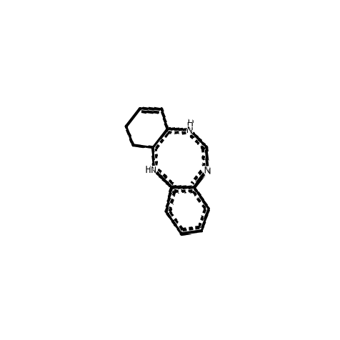 C1=Cc2[nH]cnc3ccccc3[nH]c2CC1